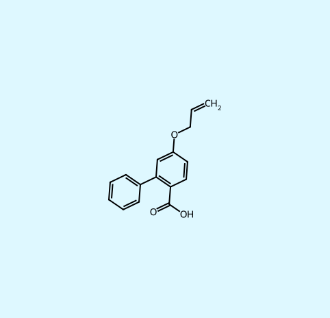 C=CCOc1ccc(C(=O)O)c(-c2ccccc2)c1